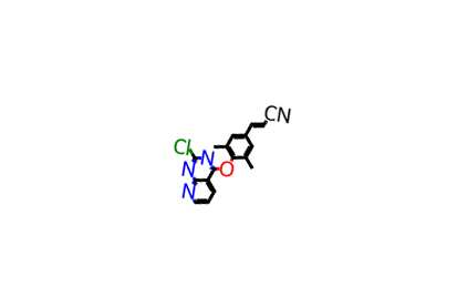 Cc1cc(C=CC#N)cc(C)c1Oc1nc(Cl)nc2ncccc12